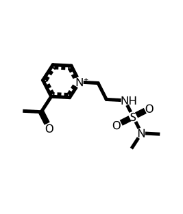 CC(=O)c1ccc[n+](CCNS(=O)(=O)N(C)C)c1